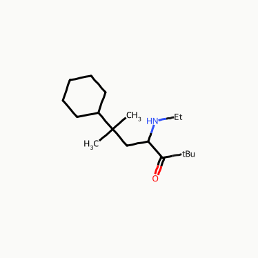 CCNC(CC(C)(C)C1CCCCC1)C(=O)C(C)(C)C